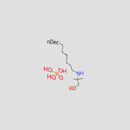 CCCCCCCCCCCCCCCCNC(C)(C)CO.O=P(O)(O)O